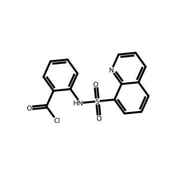 O=C(Cl)c1ccccc1NS(=O)(=O)c1cccc2cccnc12